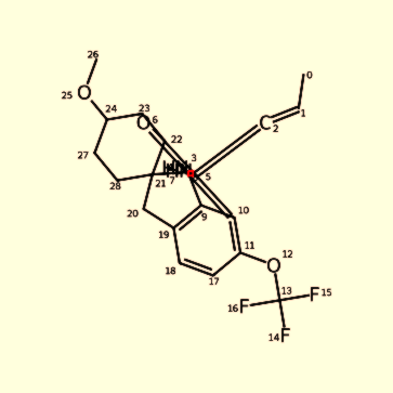 CC=C=C1NC(=O)C2(N1)c1cc(OC(F)(F)F)ccc1CC21CCC(OC)CC1